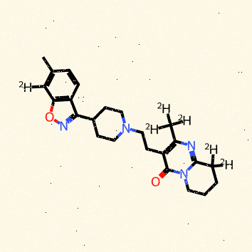 [2H]c1c(C)ccc2c(C3CCN(CCc4c(C([2H])([2H])[2H])nc5n(c4=O)CCCC5([2H])[2H])CC3)noc12